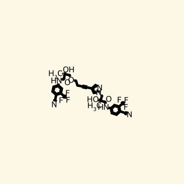 C[C@](O)(COCCC#Cc1cnn(C[C@](C)(O)C(=O)Nc2ccc(C#N)c(C(F)(F)F)c2)c1)C(=O)Nc1ccc(C#N)c(C(F)(F)F)c1